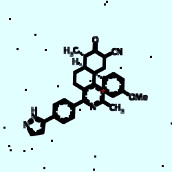 COc1ccc([C@@]23CC(C#N)C(=O)[C@@H](C)[C@@H]2CCc2c(-c4ccc(-c5ccn[nH]5)cc4)nc(C)nc23)cc1